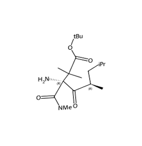 CNC(=O)[C@](N)(C(=O)[C@H](C)CC(C)C)C(C)(C)C(=O)OC(C)(C)C